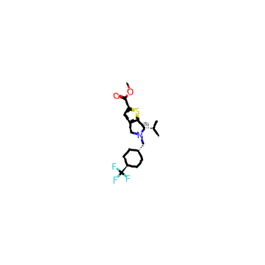 COC(=O)c1cc2c(s1)[C@H](C(C)C)N(C[C@H]1CC[C@H](C(F)(F)F)CC1)C2